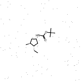 CC[C@H]1C[C@@H](NC(=O)OC(C)(C)C)C[C@@H]1C